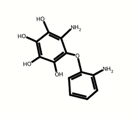 Nc1ccccc1Oc1c(N)c(O)c(O)c(O)c1O